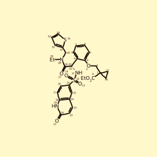 CCOC(=O)C1(COc2ccccc2[C@H](NS(=O)(=O)c2ccc3[nH]c(=O)ccc3c2)C(=O)N(CC)Cc2cccs2)CC1